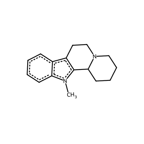 Cn1c2c(c3ccccc31)CCN1CCCCC21